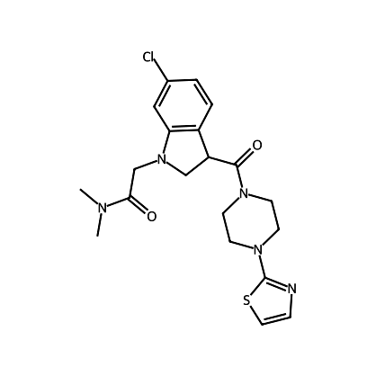 CN(C)C(=O)CN1CC(C(=O)N2CCN(c3nccs3)CC2)c2ccc(Cl)cc21